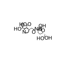 O=C(Cc1ccnc(C(=O)O)c1C(=O)O)N[C@H]1CC[C@@H](CC(O)O)OB1O